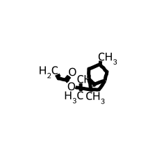 C=CC(=O)OC(C)(C)C1(C)CC2CC(C)CC1C2